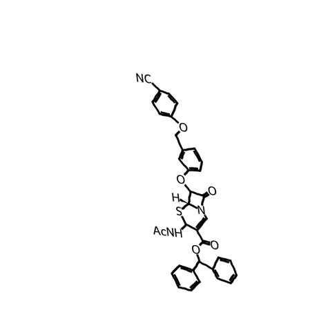 CC(=O)NC1S[C@@H]2C(Oc3cccc(COc4ccc(C#N)cc4)c3)C(=O)N2C=C1C(=O)OC(c1ccccc1)c1ccccc1